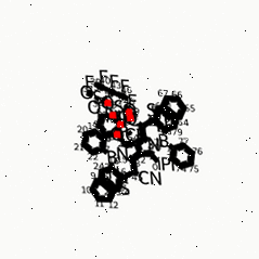 CC(C)c1c2/c(=C(\C#N)c3nc4ccccc4s3)n(B(c3ccccc3)c3ccccc3)c(-c3ccc(OS(=O)(=O)C(F)(F)C(F)(F)C(F)(F)S(=O)(=O)NS(=O)(=O)C(F)(F)F)cc3)c2/c(=C(\C#N)c2nc3ccccc3s2)n1B(c1ccccc1)c1ccccc1